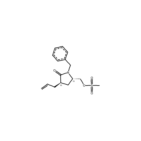 C=CC[C@@H]1C[C@@H](COS(C)(=O)=O)N(Cc2ccccc2)C1=O